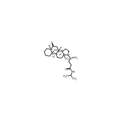 CC(C)NC(=O)CC[C@H](C)[C@@H]1CC[C@@H]2[C@H]3CC(=O)[C@H]4CCCC[C@@]4(C)[C@@H]3CC[C@]21C